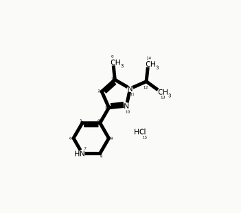 Cc1cc(C2=CCNCC2)nn1C(C)C.Cl